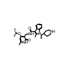 Cc1cc(OC(F)F)c(CNC(=O)c2c(C)n(C(C)C3CCNCC3)c3ccccc23)c(=O)[nH]1